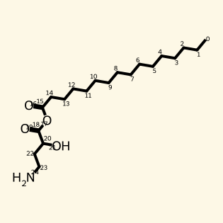 CCCCCCCCCCCCCCCC(=O)OC(=O)C(O)CCN